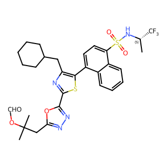 C[C@H](NS(=O)(=O)c1ccc(-c2sc(-c3nnc(CC(C)(C)OC=O)o3)nc2CC2CCCCC2)c2ccccc12)C(F)(F)F